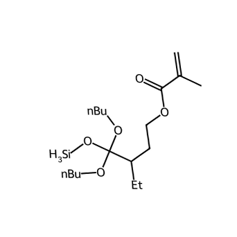 C=C(C)C(=O)OCCC(CC)C(O[SiH3])(OCCCC)OCCCC